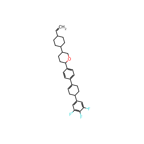 C=CC1CCC(C2CCC(c3ccc(C4=CCC(c5cc(F)c(F)c(F)c5)CC4)cc3)OC2)CC1